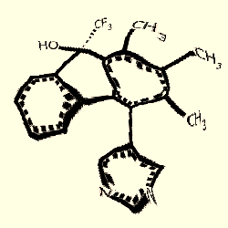 Cc1c(C)c(-c2cncnc2)c2c(c1C)[C@@](O)(C(F)(F)F)c1ccccc1-2